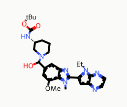 CCn1c(-c2nc3cc(C(O)N4CCC[C@@H](NC(=O)OC(C)(C)C)C4)cc(OC)c3n2C)cc2nccnc21